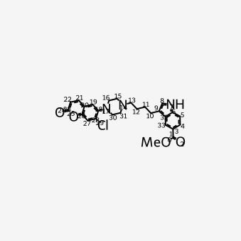 COC(=O)c1ccc2[nH]cc(CCCCN3CCN(c4cc5ccc(=O)oc5cc4Cl)CC3)c2c1